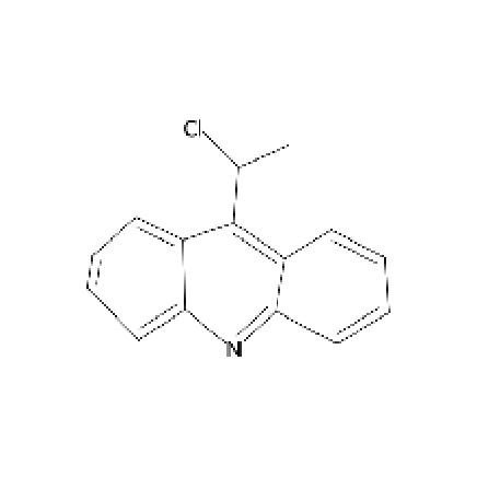 CC(Cl)c1c2ccccc2nc2ccccc12